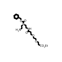 CCOC(=O)CCOCCOCCC(=O)NCCN(CCN)C(=O)OCc1ccccc1